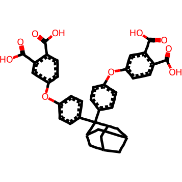 O=C(O)c1ccc(Oc2ccc(C3(c4ccc(Oc5ccc(C(=O)O)c(C(=O)O)c5)cc4)C4CC5CC(C4)CC3C5)cc2)cc1C(=O)O